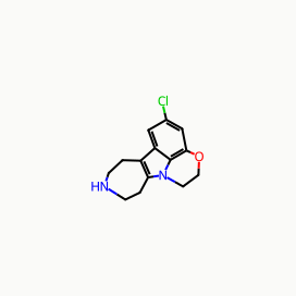 Clc1cc2c3c(c1)c1c(n3CCO2)CCNCC1